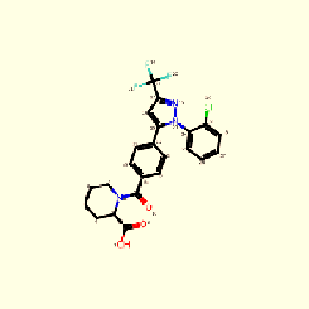 O=C(O)C1CCCCN1C(=O)c1ccc(-c2cc(C(F)(F)F)nn2-c2ccccc2Cl)cc1